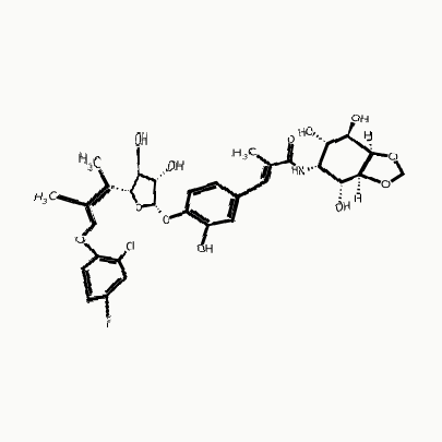 CC(=Cc1ccc(O[C@@H]2O[C@H](C(C)=C(C)COc3ccc(F)cc3Cl)[C@@H](O)[C@@H]2O)c(O)c1)C(=O)N[C@@H]1[C@H](O)[C@@H](O)[C@H]2OCO[C@H]2[C@@H]1O